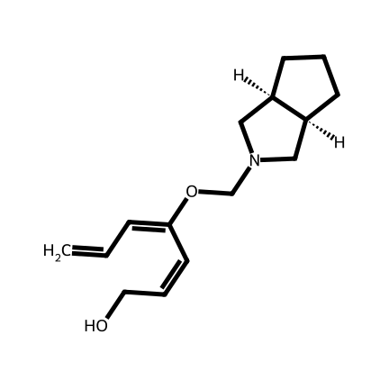 C=C/C=C(\C=C/CO)OCN1C[C@H]2CCC[C@H]2C1